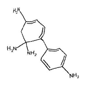 NC1=CC=C(c2ccc(N)cc2)C(N)(N)C1